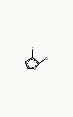 Clc1c[c]sc1Cl